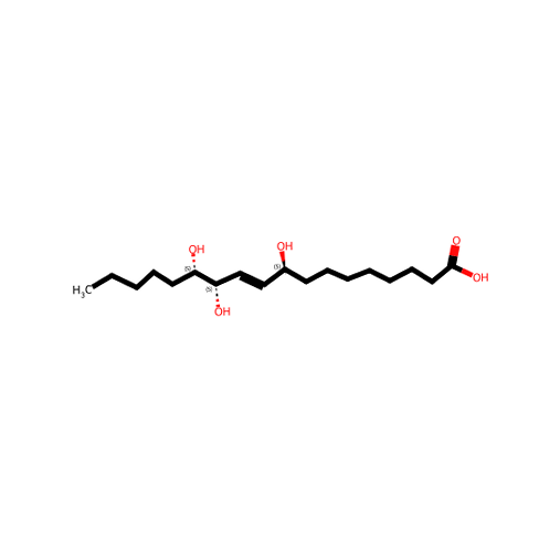 CCCCC[C@H](O)[C@@H](O)C=C[C@@H](O)CCCCCCCC(=O)O